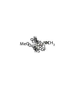 COc1ccc(COC(=O)[C@H](Oc2ncnc3sc4c5ccc(F)cc5c5c(Cl)c(OCCN6CCN(C)CC6)ccc5c4c23)C2(c3ccccc3OCc3ccnc(-c4ccccc4OC)n3)CC2)cc1